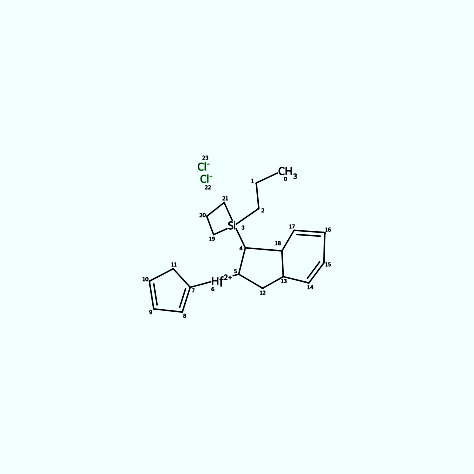 CCC[Si]1(C2[CH]([Hf+2][C]3=CC=CC3)CC3C=CC=CC32)CCC1.[Cl-].[Cl-]